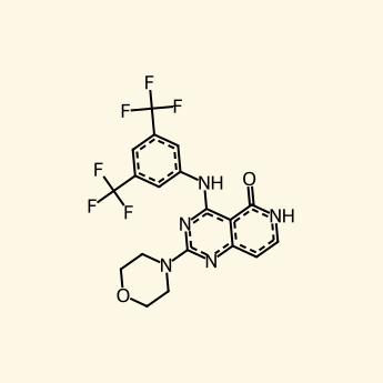 O=c1[nH]ccc2nc(N3CCOCC3)nc(Nc3cc(C(F)(F)F)cc(C(F)(F)F)c3)c12